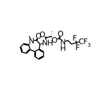 C[C@H](OC(=O)NCCC(F)(F)C(F)(F)F)C(=O)N[C@@H]1C(=O)N(C)c2ccccc2-c2ccccc21